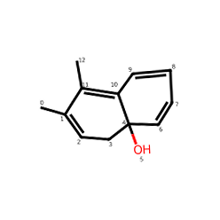 CC1=CCC2(O)C=CC=CC2=C1C